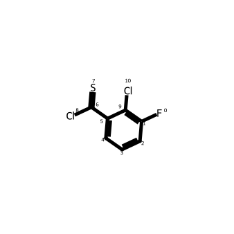 Fc1cccc(C(=S)Cl)c1Cl